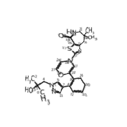 CC(C)(O)Cn1cc(C2=C(C3=CN(c4nc5c(s4)C(=O)NCC(C)(C)C5)C=CO3)CCC=C2)cn1